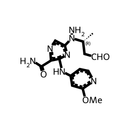 COc1cc(Nc2nc(N(N)[C@H](C)CC=O)cnc2C(N)=O)ccn1